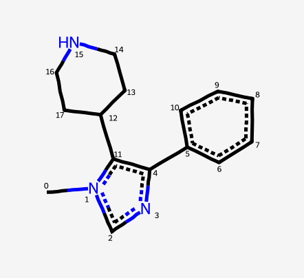 Cn1cnc(-c2ccccc2)c1C1CCNCC1